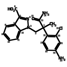 CC(Cn1nc(C(=O)O)c2ccccc21)(C(N)=O)c1ccc(N)cc1Cl